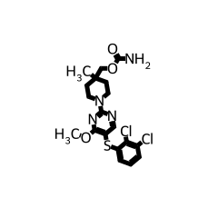 COc1nc(N2CCC(C)(COC(N)=O)CC2)ncc1Sc1cccc(Cl)c1Cl